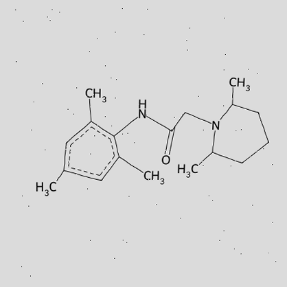 Cc1cc(C)c(NC(=O)CN2C(C)CCCC2C)c(C)c1